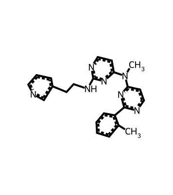 Cc1ccccc1-c1nccc(N(C)c2ccnc(NCCc3cccnc3)n2)n1